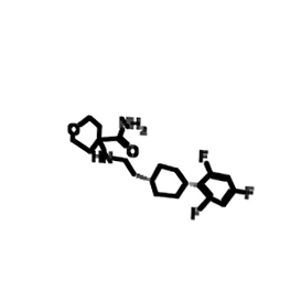 NC(=O)C1(NCC[C@H]2CC[C@@H](c3c(F)cc(F)cc3F)CC2)CCOCC1